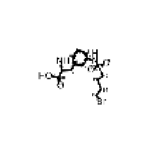 NC(Cc1cccc(NS(=O)(=O)CCCCBr)c1)C(=O)O